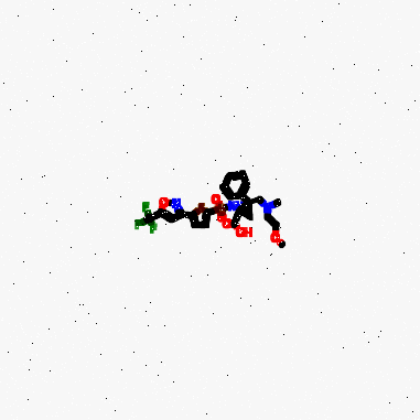 COCCN(C)C[C@@]1(c2ccccc2)CC1(NS(=O)(=O)c1ccc(-c2cc(C(F)(F)F)on2)s1)C(=O)O